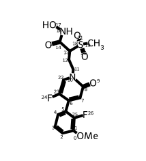 COc1cccc(-c2cc(=O)n(CCC(C(=O)NO)S(C)(=O)=O)cc2F)c1F